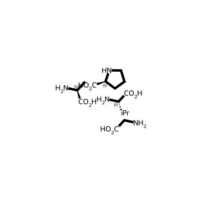 CC(C)[C@H](N)C(=O)O.C[C@H](N)C(=O)O.NCC(=O)O.O=C(O)[C@@H]1CCCN1